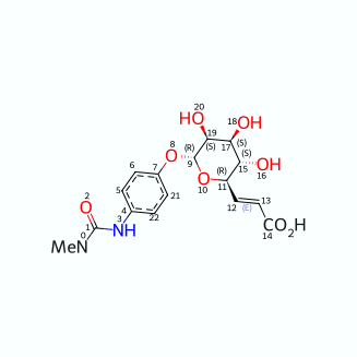 CNC(=O)Nc1ccc(O[C@H]2O[C@H](/C=C/C(=O)O)[C@@H](O)[C@H](O)[C@@H]2O)cc1